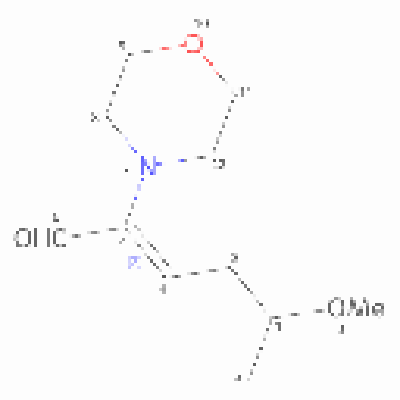 COC(C)C/C=C(/C=O)N1CCOCC1